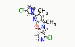 Cc1cc(C(C)N2Cc3c(ccnc3Cl)C2=O)cnc1-n1cc(Cl)cn1